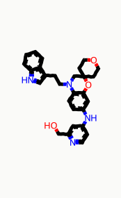 OCc1cc(Nc2ccc3c(c2)OC2(CCOCC2)CN3CCc2c[nH]c3ccccc23)ccn1